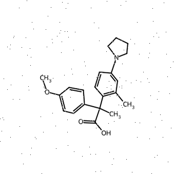 COc1ccc(C(C)(C(=O)O)c2ccc(N3CCCC3)cc2C)cc1